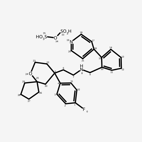 Fc1ccc(C2(CCNCc3ccccc3-c3ccncc3)CCOC3(CCCC3)C2)cc1.O=S(=O)(O)OS(=O)(=O)O